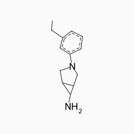 CCc1cccc(N2CC3C(N)C3C2)c1